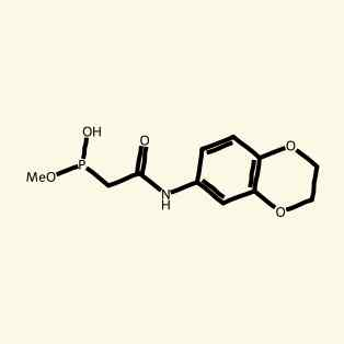 COP(O)CC(=O)Nc1ccc2c(c1)OCCO2